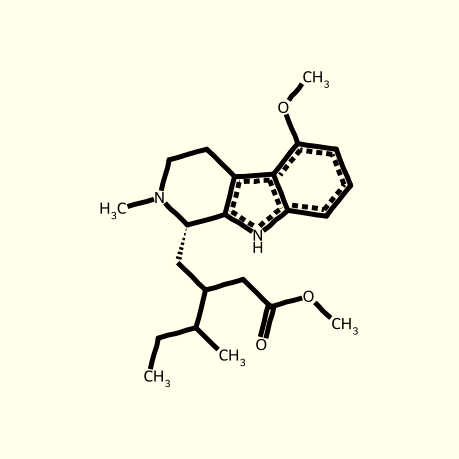 CCC(C)C(CC(=O)OC)C[C@H]1c2[nH]c3cccc(OC)c3c2CCN1C